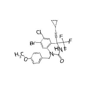 COc1ccc(CN2C(=O)NC(C#CC3CC3)(C(F)(F)F)c3cc(Cl)c(Br)cc32)cc1